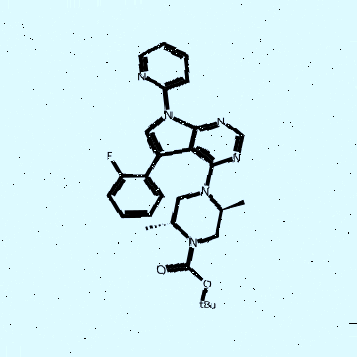 C[C@@H]1CN(c2ncnc3c2c(-c2ccccc2F)cn3-c2ccccn2)[C@@H](C)CN1C(=O)OC(C)(C)C